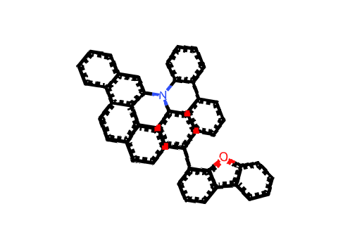 c1ccc(-c2ccccc2N(c2ccc(-c3cccc4c3oc3ccccc34)cc2)c2cc3ccccc3c3ccc4ccccc4c23)cc1